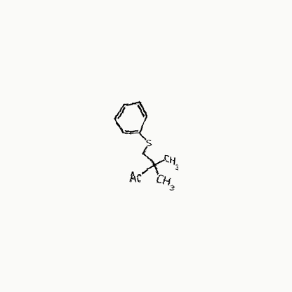 CC(=O)C(C)(C)CSc1ccccc1